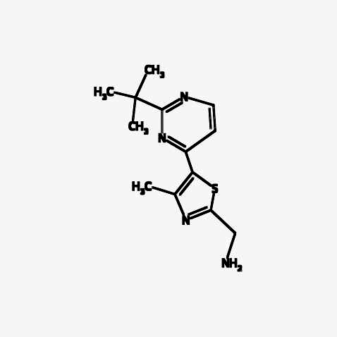 Cc1nc(CN)sc1-c1ccnc(C(C)(C)C)n1